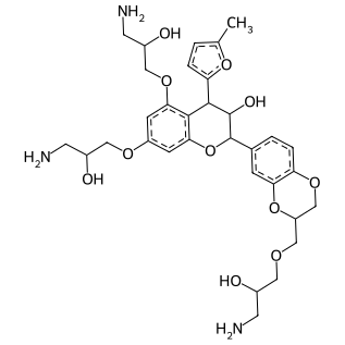 Cc1ccc(C2c3c(OCC(O)CN)cc(OCC(O)CN)cc3OC(c3ccc4c(c3)OC(COCC(O)CN)CO4)C2O)o1